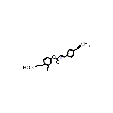 CC#Cc1ccc(/C=C/C(=O)Oc2ccc(CCC(=O)O)c(F)c2)cc1